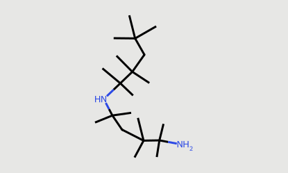 CC(C)(C)CC(C)(C)C(C)(C)NC(C)(C)CC(C)(C)C(C)(C)N